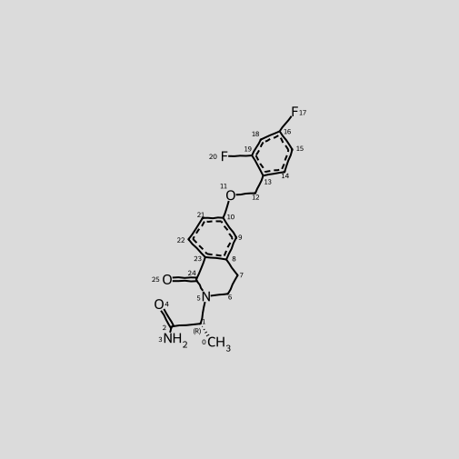 C[C@H](C(N)=O)N1CCc2cc(OCc3ccc(F)cc3F)ccc2C1=O